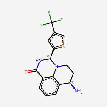 N[C@@H]1CCN2c3c(cccc31)C(=O)N[C@H]2c1cc(C(F)(F)F)cs1